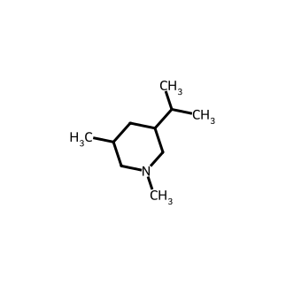 CC1CC(C(C)C)CN(C)C1